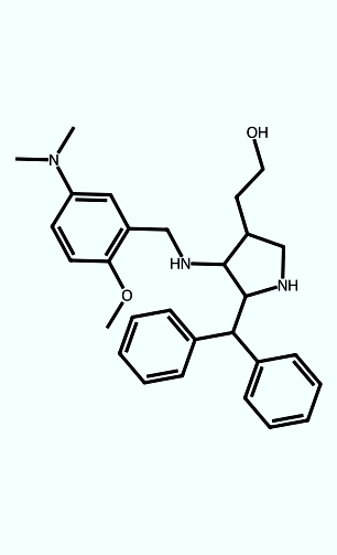 COc1ccc(N(C)C)cc1CNC1C(CCO)CNC1C(c1ccccc1)c1ccccc1